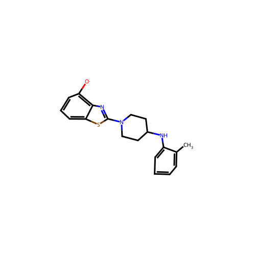 Cc1ccccc1NC1CCN(c2nc3c([O])cccc3s2)CC1